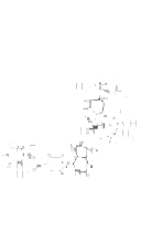 CC(C)(C)OC(=O)[C@H](Cn1cnc2c(N3CCC(C(=O)NC4=NCCCN4)CC3)ncnc21)NS(=O)(=O)c1ccc(C(C)(C)C)cc1